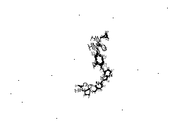 CC(=O)NC1CCN(Cc2ccc(-c3cc4nccc(Oc5ccc(NC(=O)NC6CC6)cc5F)c4s3)nc2)C1=O